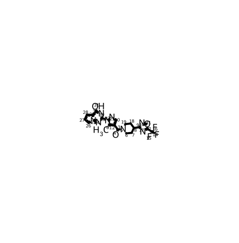 Cc1c(C(=O)N2CCC(c3noc(C(F)(F)F)n3)CC2)cnn1-c1nn2cccc2c(=O)[nH]1